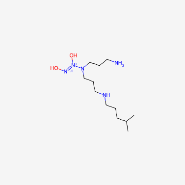 CC(C)CCCNCCCN(CCCN)/[N+](O)=N/O